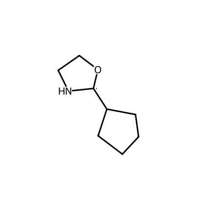 C1CCC([C]2NCCO2)C1